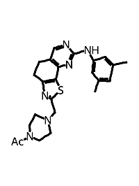 CC(=O)N1CCN(Cc2nc3c(s2)-c2nc(Nc4cc(C)cc(C)c4)ncc2CC3)CC1